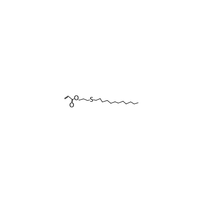 C=CC(=O)OCCCSCCCCCCCCCCCC